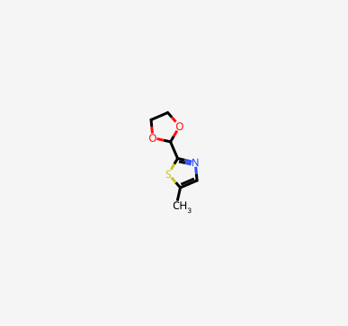 Cc1cnc(C2OCCO2)s1